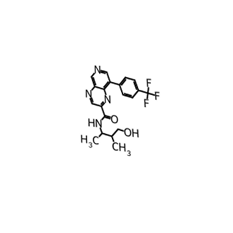 CC(CO)C(C)NC(=O)c1cnc2cncc(-c3ccc(C(F)(F)F)cc3)c2n1